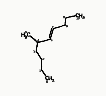 CCC[CH]C(C)C=CCCC